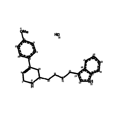 COc1ccc(C2=CCNC(CCSCc3c[nH]c4ccccc34)C2)cc1.Cl